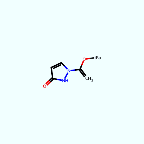 C=C(OC(C)(C)C)n1ccc(=O)[nH]1